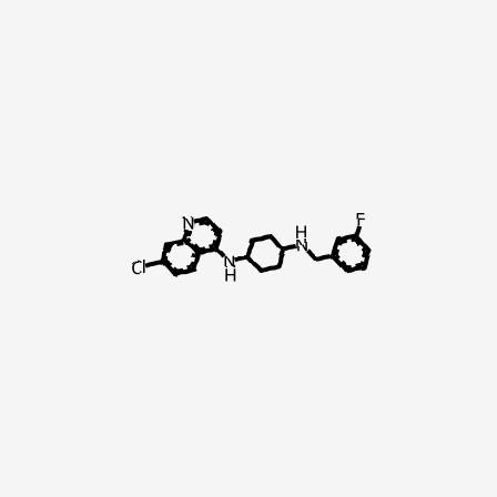 Fc1cccc(CNC2CCC(Nc3ccnc4cc(Cl)ccc34)CC2)c1